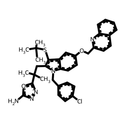 CC(C)(C)Sc1c(CC(C)(C)c2nnc(N)o2)n(Cc2ccc(Cl)cc2)c2ccc(OCc3ccc4ccccc4n3)cc12